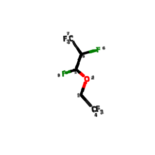 FC(OCC(F)(F)F)C(F)C(F)(F)F